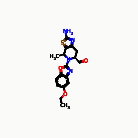 CCOc1ccc2oc(N3[C@H](C=O)Cc4nc(N)sc4[C@@H]3C)nc2c1